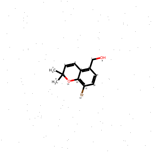 CC1(C)C=Cc2c(CO)ccc(Br)c2O1